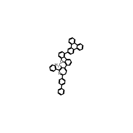 CC1=C(c2ccccc2)N=C(c2ccc(-c3ccccc3)cc2)CC=C1c1cccc2c1oc1cccc(-c3ccc4c5ccccc5c5ccccc5c4c3)c12